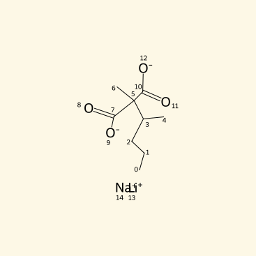 CCCC(C)C(C)(C(=O)[O-])C(=O)[O-].[Li+].[Na+]